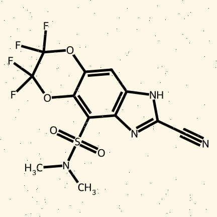 CN(C)S(=O)(=O)c1c2c(cc3[nH]c(C#N)nc13)OC(F)(F)C(F)(F)O2